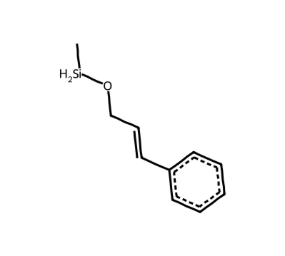 C[SiH2]OCC=Cc1ccccc1